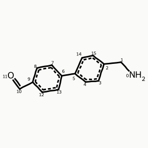 NCc1ccc(-c2ccc(C=O)cc2)cc1